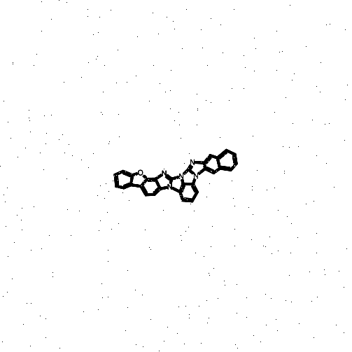 c1ccc2cc3c(cc2c1)nc1n3c2cccc3c2n1c1nc2c4oc5ccccc5c4ccc2n31